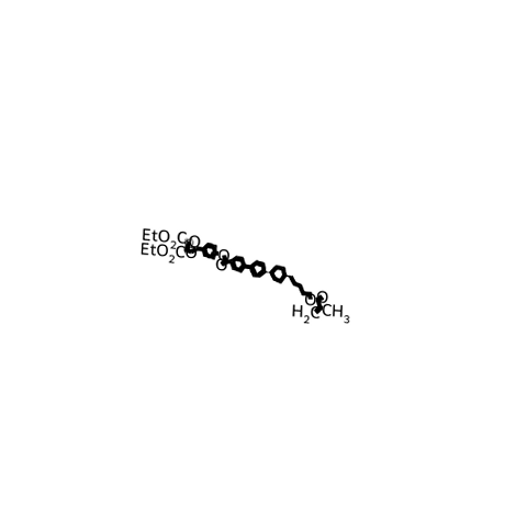 C=C(C)C(=O)OCCCCC[C@H]1CC[C@H](c2ccc(-c3ccc(C(=O)Oc4ccc(C5O[C@@H](C(=O)OCC)[C@H](C(=O)OCC)O5)cc4)cc3)cc2)CC1